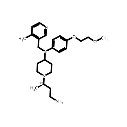 COCCOc1ccc(N(Cc2cnccc2C)C2CCN([C@H](C)CCN)CC2)cc1